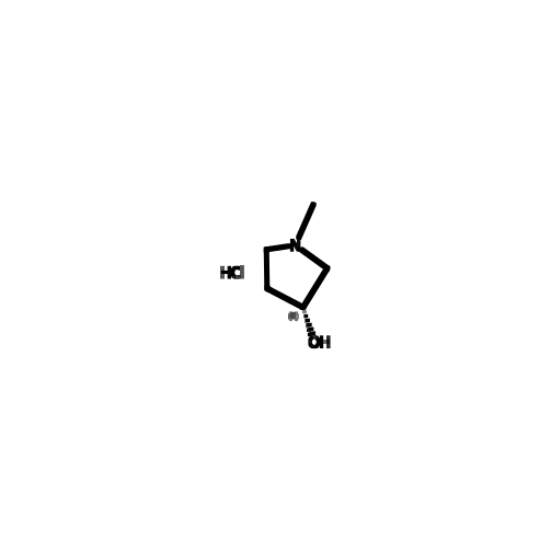 CN1CC[C@@H](O)C1.Cl